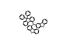 c1ccc(C2(c3ccccc3)c3ccccc3-c3c(N(c4ccc5oc6ccccc6c5c4)c4cccc5sc6ccccc6c45)cccc32)cc1